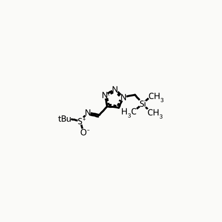 CC(C)(C)[S+]([O-])N=Cc1cn(C[Si](C)(C)C)nn1